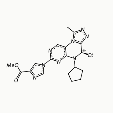 CC[C@@H]1c2nnc(C)n2-c2cnc(-n3cnc(C(=O)OC)c3)nc2N1C1CCCC1